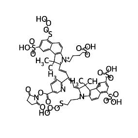 CC1(C)C(/C=C/C(=C/C=C2/N(CCCSOOO)c3ccc4c(S(=O)(=O)O)cc(S(=O)(=O)O)cc4c3C2(C)C)c2ccc(C(=O)ON3C(=O)CCC3=O)cn2)=[N+](CCCS(=O)(=O)O)c2ccc3c(SOOO)cc(S(=O)(=O)O)cc3c21